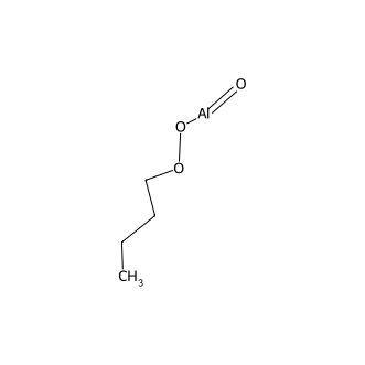 CCCCO[O][Al]=[O]